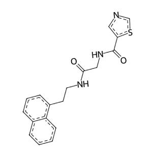 O=C(CNC(=O)c1cncs1)NCCc1cccc2ccccc12